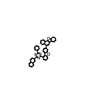 C1=Cc2c(oc3c2cc(-c2ccc4c(c2)oc2cccc(-c5nc(-c6ccccc6)nc(-c6ccc7ccccc7c6)n5)c24)c2ccccc23)CC1